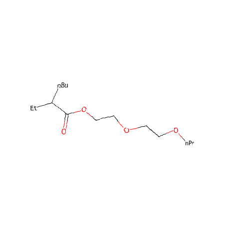 CCCCC(CC)C(=O)OCCOCCOCCC